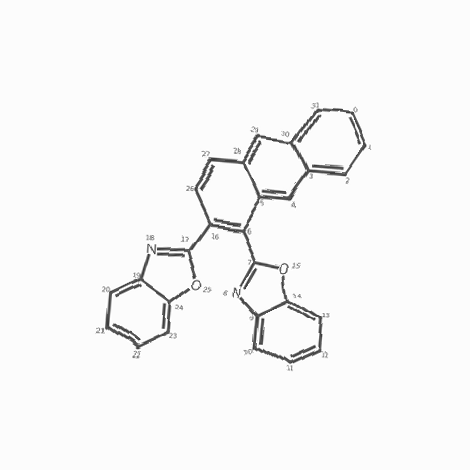 c1ccc2cc3c(-c4nc5ccccc5o4)c(-c4nc5ccccc5o4)ccc3cc2c1